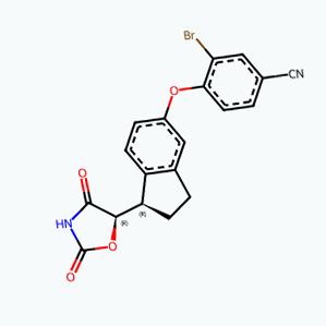 N#Cc1ccc(Oc2ccc3c(c2)CC[C@H]3[C@H]2OC(=O)NC2=O)c(Br)c1